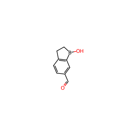 O=Cc1ccc2c(c1)B(O)CC2